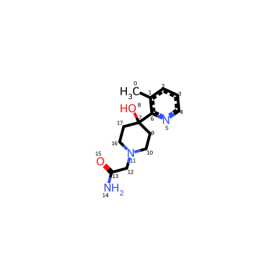 Cc1cccnc1C1(O)CCN(CC(N)=O)CC1